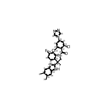 Cc1cc2nc([C@@](C)(CNC(=O)c3c(Cl)cc(-n4cnnc4)cc3Cl)c3ccc(F)cc3)[nH]c2cc1C